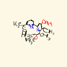 C=C/C(OC)=C(/C)c1nc(-c2cccc(C(C)C)n2)cc(O)c1C